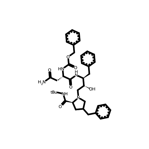 CC(C)(C)NC(=O)[C@@H]1CC(Cc2ccccc2)CN1C[C@@H](O)[C@H](Cc1ccccc1)NC(=O)[C@H](CC(N)=O)NC(=O)OCc1ccccc1